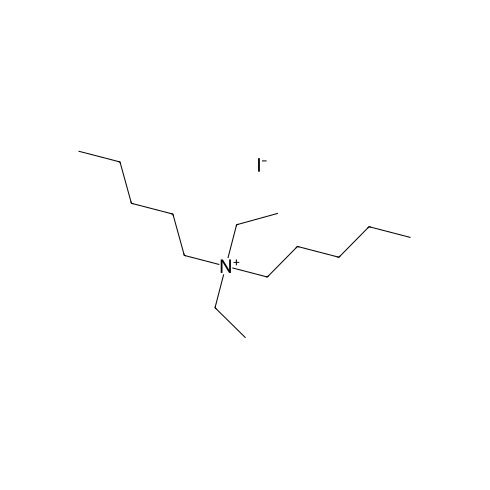 CCCCC[N+](CC)(CC)CCCCC.[I-]